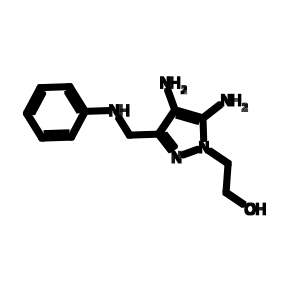 Nc1c(CNc2ccccc2)nn(CCO)c1N